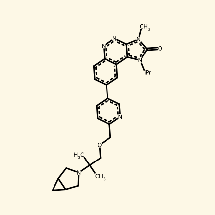 CC(C)n1c(=O)n(C)c2nnc3ccc(-c4ccc(COCC(C)(C)N5CC6CC6C5)nc4)cc3c21